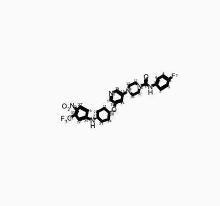 O=C(Nc1ccc(F)cc1)N1CCN(c2cncc(O[C@H]3CC[C@H](Nc4ccc([N+](=O)[O-])c(C(F)(F)F)c4)CC3)c2)CC1